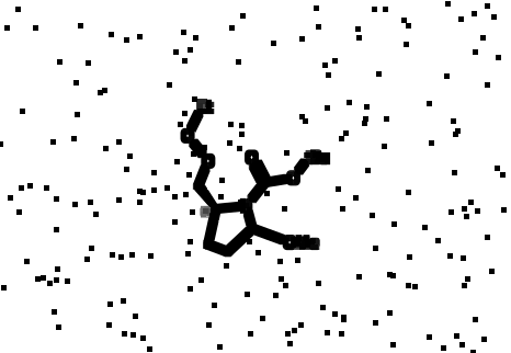 CCOOC[C@@H]1CCC(OC)N1C(=O)OC(C)(C)C